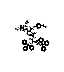 COc1ccc(COC(=O)C2=C(/C(=C/CC(C)(C)C)O[SiH](C)C)CS[C@@H]3C(NC(=O)/C(=N\OC(c4ccccc4)(c4ccccc4)c4ccccc4)c4csc(NC(c5ccccc5)(c5ccccc5)c5ccccc5)n4)C(=O)N23)cc1